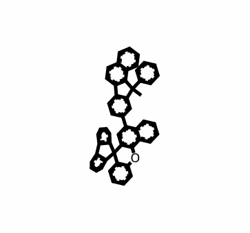 CC1(c2ccccc2)c2cc(-c3cc4c(c5ccccc35)Oc3ccccc3C43c4ccccc4-c4ccccc43)ccc2-c2ccc3ccccc3c21